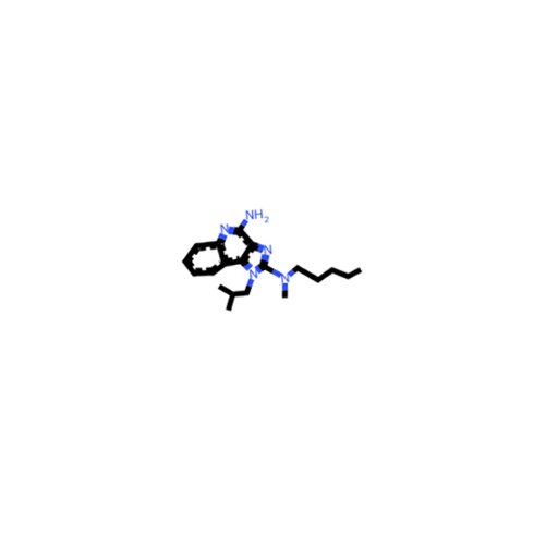 CCCCCN(C)c1nc2c(N)nc3ccccc3c2n1CC(C)C